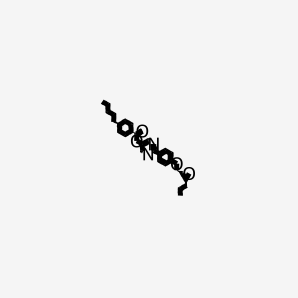 CCCCC[C@H]1CC[C@H](C(=O)Oc2cnc(-c3ccc(OC[C@@H]4O[C@H]4CCC)cc3)nc2)CC1